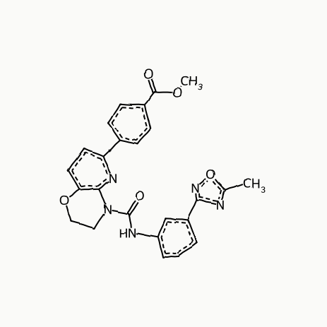 COC(=O)c1ccc(-c2ccc3c(n2)N(C(=O)Nc2cccc(-c4noc(C)n4)c2)CCO3)cc1